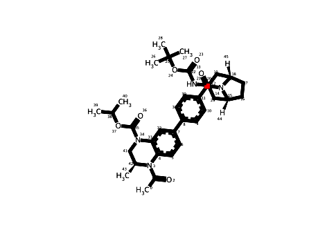 CC(=O)N1c2ccc(-c3ccc(C(=O)N4[C@@H]5CC[C@H]4CC(NC(=O)OC(C)(C)C)C5)cc3)cc2N(C(=O)OC(C)C)C[C@@H]1C